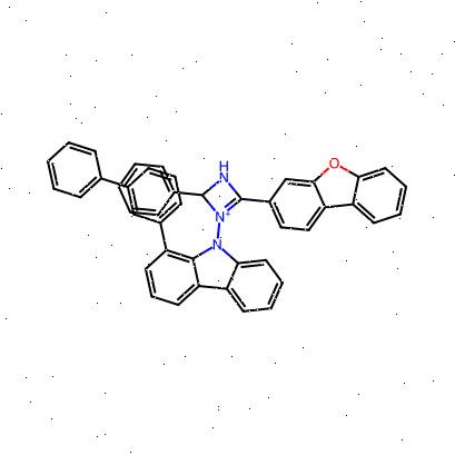 c1ccc(-c2cccc(-c3cccc4c5ccccc5n([N+]5=C(c6ccc7c(c6)oc6ccccc67)NC5c5ccccc5)c34)c2)cc1